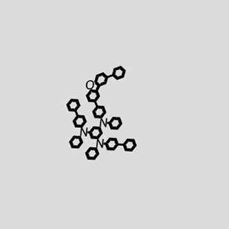 c1ccc(-c2ccc(N(c3ccccc3)c3cc(N(c4ccccc4)c4ccc(-c5ccccc5)cc4)cc(N(c4ccccc4)c4ccc(-c5ccc6oc7ccc(-c8ccccc8)cc7c6c5)cc4)c3)cc2)cc1